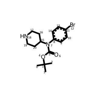 CC(C)(C)OC(=O)N(c1ccc(Br)cc1)C1CCNCC1